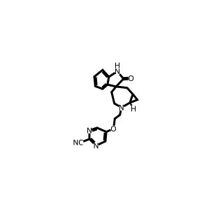 N#Cc1ncc(OCCN2CCC3(CC4C[C@@H]42)C(=O)Nc2ccccc23)cn1